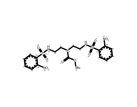 CC(C)(C)OC(=O)N(CCNS(=O)(=O)c1ccccc1[N+](=O)[O-])CCNS(=O)(=O)c1ccccc1[N+](=O)[O-]